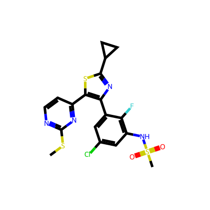 CSc1nccc(-c2sc(C3CC3)nc2-c2cc(Cl)cc(NS(C)(=O)=O)c2F)n1